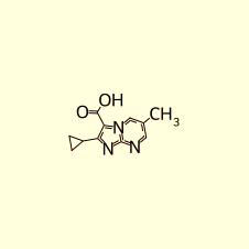 Cc1cnc2nc(C3CC3)c(C(=O)O)n2c1